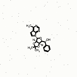 Cc1ncnc2c1ccn2[C@@H]1O[C@@H]([C@H](O)c2ccccc2)[C@H]2OC(C)(C)O[C@H]21